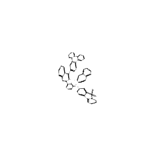 CC1(C)c2ccccc2-c2ccc(N(c3ccc4ccccc4c3)c3cccc4c3oc3c(-c5ccc6c7ccccc7c7ccccc7c6c5)c5ccccc5cc34)cc21